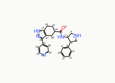 O=C(NC1CNCC1c1ccccc1)C1CCc2[nH]nc(-c3ccncc3)c2C1